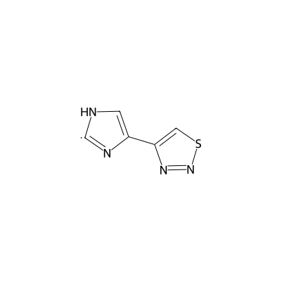 [c]1nc(-c2csnn2)c[nH]1